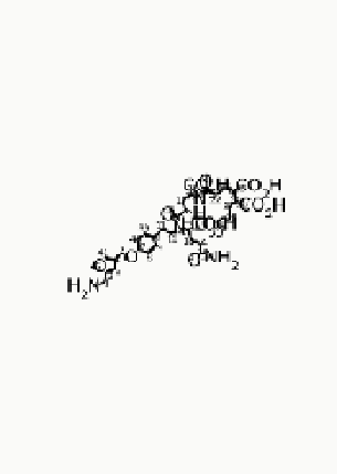 NCc1cc(COc2ccc(CCN(C(=O)CC[C@H](NC(=O)CCC(C(=O)O)C(CCC(=O)O)C(=O)O)C(=O)O)[C@@H](CCC(N)=O)C(=O)O)cc2)co1